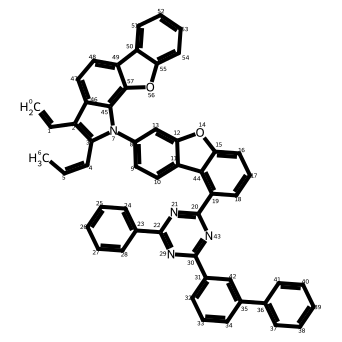 C=Cc1c(/C=C\C)n(-c2ccc3c(c2)oc2cccc(-c4nc(-c5ccccc5)nc(-c5cccc(-c6ccccc6)c5)n4)c23)c2c1ccc1c3ccccc3oc12